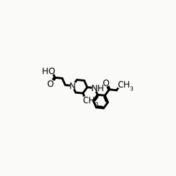 CCC(=O)c1ccccc1NC1CCN(CCC(=O)O)CC1C